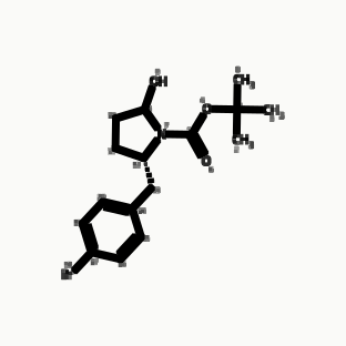 CC(C)(C)OC(=O)N1C(O)CC[C@H]1Cc1ccc(Br)cc1